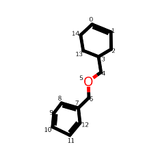 C1=CCC(COCc2ccccc2)CC1